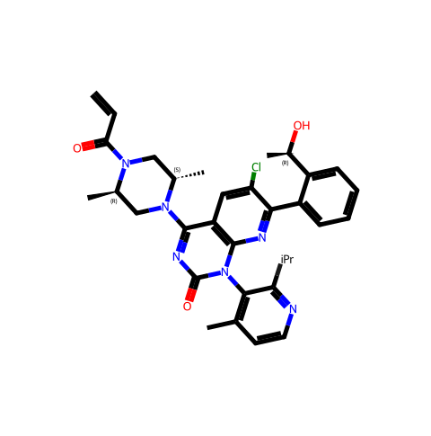 C=CC(=O)N1C[C@H](C)N(c2nc(=O)n(-c3c(C)ccnc3C(C)C)c3nc(-c4ccccc4[C@@H](C)O)c(Cl)cc23)C[C@H]1C